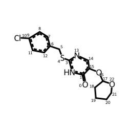 O=c1[nH]c(SCc2ccc(Cl)cc2)ncc1OC1CCCCO1